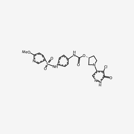 COc1ccc(S(=O)(=O)Nc2ccc(NC(=O)O[C@@H]3CCN(c4cn[nH]c(=O)c4Cl)C3)cc2)cn1